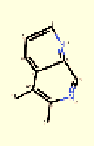 Cc1ncc2ncccc2c1C